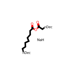 CCCCCCCCCCCCCCCCCC(=O)OC(=O)CCCCCCCCCCC.[NaH]